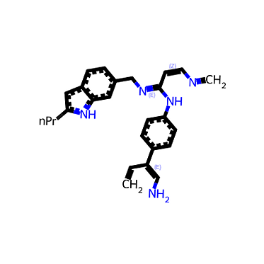 C=C/C(=C\N)c1ccc(NC(/C=C\N=C)=N/Cc2ccc3cc(CCC)[nH]c3c2)cc1